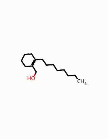 CCCCCCCCC1=C(CO)CCCC1